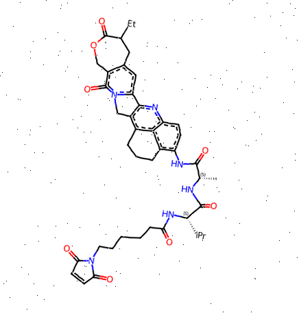 CCC1Cc2cc3n(c(=O)c2COC1=O)Cc1c-3nc2ccc(NC(=O)[C@H](C)NC(=O)[C@@H](NC(=O)CCCCCN3C(=O)C=CC3=O)C(C)C)c3c2c1CCC3